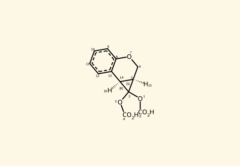 O=C(O)OC1(OC(=O)O)[C@@H]2COc3ccccc3[C@@H]21